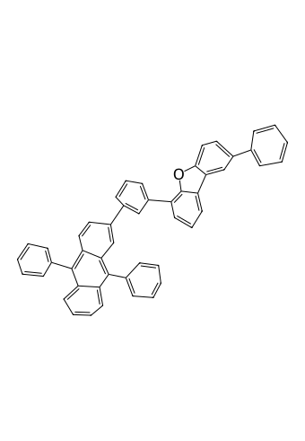 c1ccc(-c2ccc3oc4c(-c5cccc(-c6ccc7c(-c8ccccc8)c8ccccc8c(-c8ccccc8)c7c6)c5)cccc4c3c2)cc1